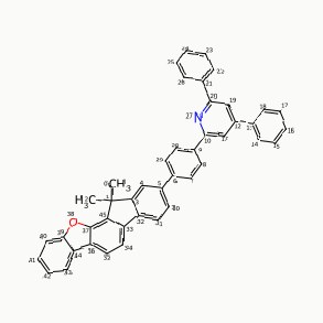 CC1(C)c2cc(-c3ccc(-c4cc(-c5ccccc5)cc(-c5ccccc5)n4)cc3)ccc2-c2ccc3c(oc4ccccc43)c21